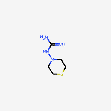 N=C(N)NN1CCSCC1